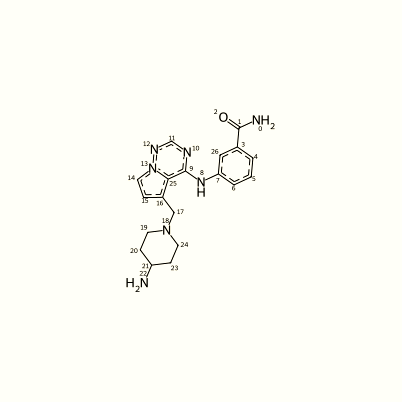 NC(=O)c1cccc(Nc2ncnn3ccc(CN4CCC(N)CC4)c23)c1